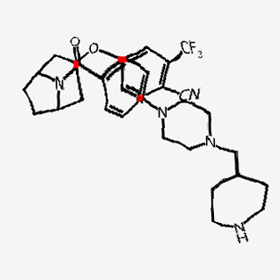 N#Cc1ncc(OC2CC3CCC(C2)N3C(=O)c2ccc(N3CCN(CC4CCNCC4)CC3)cc2)cc1C(F)(F)F